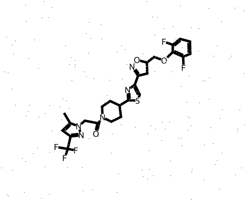 Cc1cc(C(F)(F)F)nn1CC(=O)N1CCC(c2nc(C3=NOC(COc4c(F)cccc4F)C3)cs2)CC1